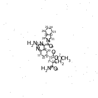 C=C(CC(C(=O)OCC)c1ccc2nc(N)nc(C(=O)n3cc4ccccc4c3)c2c1)C(N)=O